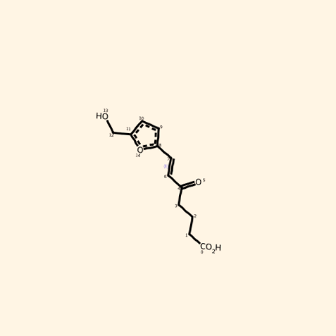 O=C(O)CCCC(=O)/C=C/c1ccc(CO)o1